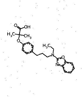 CCN(CCCc1ccc(OC(C)(C)C(=O)O)cc1)c1nc2ccccc2o1